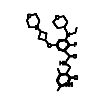 CCN(c1cc(OC2CC(N3CCOCC3)C2)cc(C(=O)NCc2c(C)cc(C)[nH]c2=O)c1F)C1CCOCC1